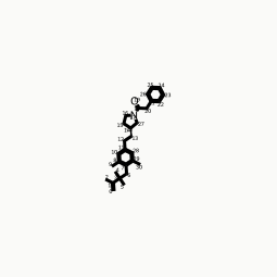 C=C(C)C(C)(C)Cc1c(C)cc(CC[C@H]2CCN(C(=O)Cc3ccccc3)C2)cc1C